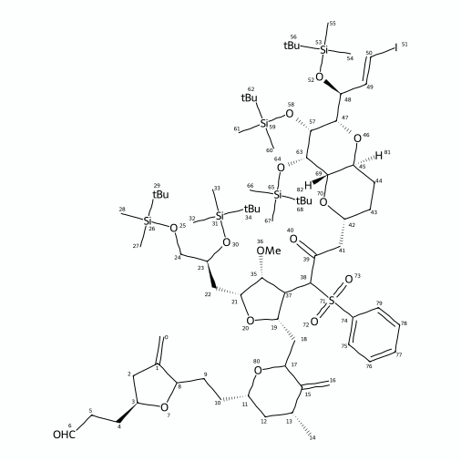 C=C1C[C@H](CCC=O)OC1CC[C@H]1C[C@@H](C)C(=C)C(C[C@@H]2O[C@H](C[C@@H](CO[Si](C)(C)C(C)(C)C)O[Si](C)(C)C(C)(C)C)[C@H](OC)C2C(C(=O)C[C@H]2CC[C@@H]3O[C@@H]([C@H](/C=C/I)O[Si](C)(C)C(C)(C)C)[C@@H](O[Si](C)(C)C(C)(C)C)[C@@H](O[Si](C)(C)C(C)(C)C)[C@H]3O2)S(=O)(=O)c2ccccc2)O1